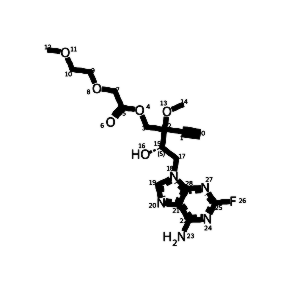 C#CC(COC(=O)COCCOC)(OC)[C@@H](O)Cn1cnc2c(N)nc(F)nc21